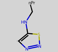 CCCCNc1[c]nns1